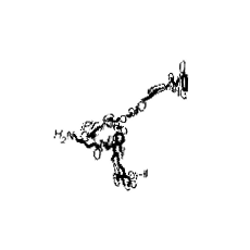 CC(C)C(NC(=O)CCOCCOCCOCCOCCNC(=O)CCN1C(=O)C=CC1=O)C(=O)C[C@@H](CCCCN)C(=O)NCc1c2c(nc3cc4c(cc13)OCO4)-c1cc3c(c(=O)n1C2)COC(=O)[C@H]3O